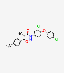 N#CC(C(=O)Nc1ccc(Oc2ccc(Cl)cc2)c(Cl)c1)C(=O)c1ccc(C(F)(F)F)cc1